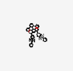 Cn1c(-c2ccccc2)nc2ccc(-c3cccc4c(-c5c(-c6ccccc6)cccc5-c5ccccc5)c5cccc(-c6ccc7nc(-c8ccccc8)n(C)c7c6)c5cc34)cc21